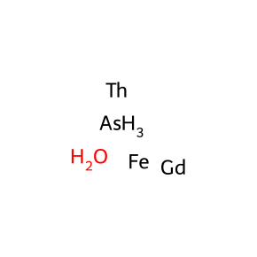 O.[AsH3].[Fe].[Gd].[Th]